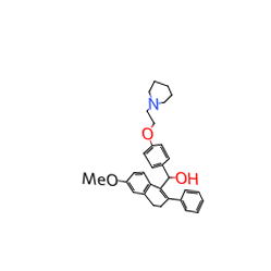 COc1ccc2c(c1)CCC(c1ccccc1)=C2C(O)c1ccc(OCCN2CCCCC2)cc1